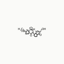 CCNc1ncc2c(n1)N1CCC[C@H]1CN(c1cccc3c(=O)n(CCO)cnc13)C2=O